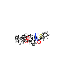 Cc1c(NC(=O)c2cc3ccccc3s2)cccc1B1OC(C)(C)C(C)(C)O1